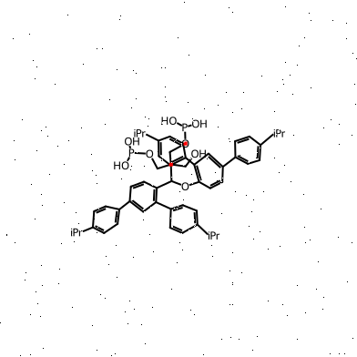 CC(C)c1ccc(-c2ccc(OC(c3ccc(-c4ccc(C(C)C)cc4)cc3-c3ccc(C(C)C)cc3)C(CO)(COP(O)O)COP(O)O)c(-c3ccc(C(C)C)cc3)c2)cc1